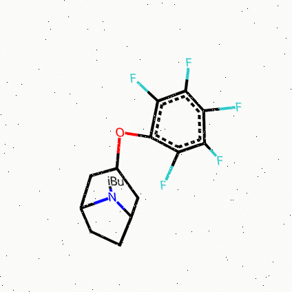 CCC(C)N1C2CCC1CC(Oc1c(F)c(F)c(F)c(F)c1F)C2